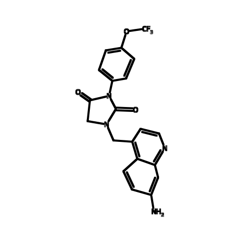 Nc1ccc2c(CN3CC(=O)N(c4ccc(OC(F)(F)F)cc4)C3=O)ccnc2c1